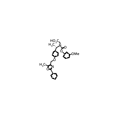 COc1cccc(OC(=O)N(CC(=O)O)[C@@H](C)c2ccc(OCc3nc(-c4ccccc4)oc3C)cc2)c1